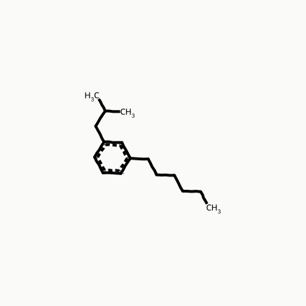 CCCCCCc1[c]ccc(CC(C)C)c1